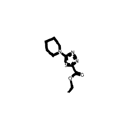 CCOC(=O)c1nnc(N2CCCCC2)s1